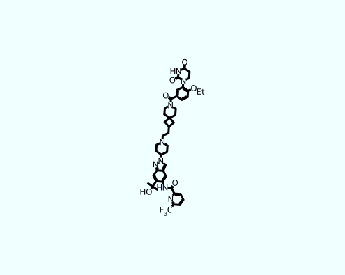 CCOc1ccc(C(=O)N2CCC3(CC2)CC(CCN2CCC(n4cc5cc(NC(=O)c6cccc(C(F)(F)F)n6)c(C(C)(C)O)cc5n4)CC2)C3)cc1N1CCC(=O)NC1=O